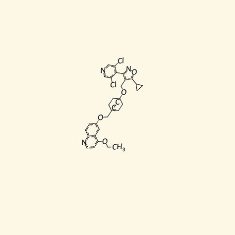 CCOc1ccnc2ccc(OCC34CCC(OCc5c(-c6c(Cl)cncc6Cl)noc5C5CC5)(CC3)CC4)cc12